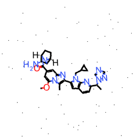 COc1cc(C(=O)N2[C@H]3CC[C@@H]2[C@H](N)C3)cc2nc(-c3cc4ccc(C(C)n5cncn5)nc4n3CC3CC3)c(C)n12